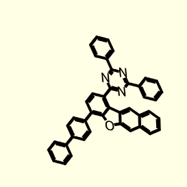 c1ccc(-c2ccc(-c3ccc(-c4nc(-c5ccccc5)nc(-c5ccccc5)n4)c4c3oc3cc5ccccc5cc34)cc2)cc1